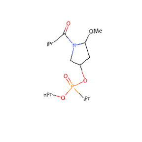 CCCOP(=O)(OC1CC(OC)N(C(=O)C(C)C)C1)C(C)C